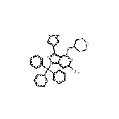 Cc1cc2c(c(OC3CCOCC3)n1)c(-c1cn[nH]c1)nn2C(c1ccccc1)(c1ccccc1)c1ccccc1